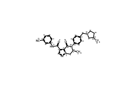 C[C@H]1Cn2ncc(C(=O)Nc3cccc(C#N)c3)c2C(=O)N1c1ccc(CN2CC[C@@H](C(F)(F)F)C2)cc1